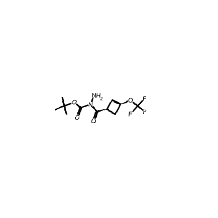 CC(C)(C)OC(=O)N(N)C(=O)[C@H]1C[C@@H](OC(F)(F)F)C1